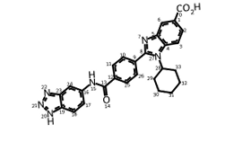 O=C(O)c1ccc2c(c1)nc(-c1ccc(C(=O)Nc3ccc4[nH]nnc4c3)cc1)n2C1CCCCC1